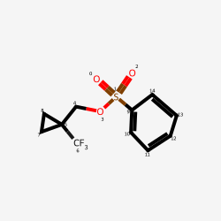 O=S(=O)(OCC1(C(F)(F)F)CC1)c1ccccc1